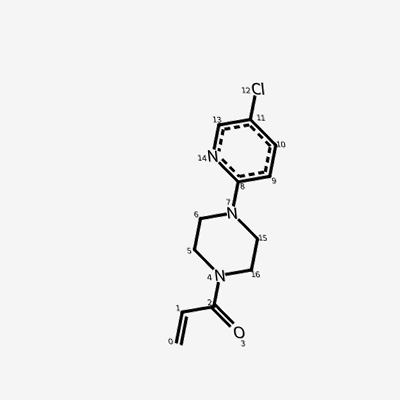 C=CC(=O)N1CCN(c2ccc(Cl)cn2)CC1